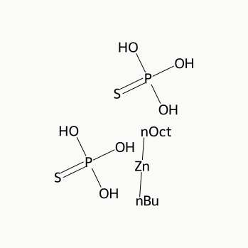 CCCCCCC[CH2][Zn][CH2]CCC.OP(O)(O)=S.OP(O)(O)=S